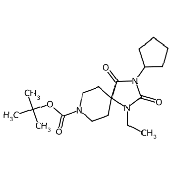 CCN1C(=O)N(C2CCCC2)C(=O)C12CCN(C(=O)OC(C)(C)C)CC2